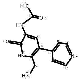 CCc1[nH]c(=O)c(NC(C)=O)cc1-c1ccncc1